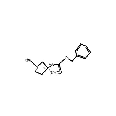 CC(C)(C)N1CC[C@](C=O)(NC(=O)OCc2ccccc2)C1